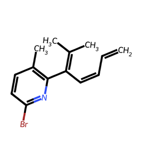 C=C/C=C\C(=C(C)C)c1nc(Br)ccc1C